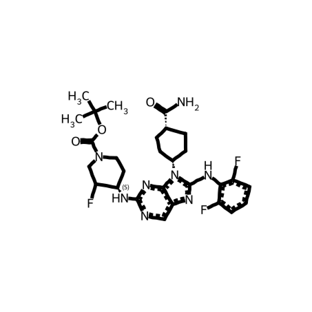 CC(C)(C)OC(=O)N1CC[C@H](Nc2ncc3nc(Nc4c(F)cccc4F)n([C@H]4CC[C@@H](C(N)=O)CC4)c3n2)C(F)C1